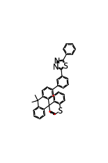 CC1(C)c2ccccc2C2(c3ccccc3Sc3ccccc32)c2cc(-c3cccc(-c4nnc(-c5ccccc5)s4)c3)ccc21